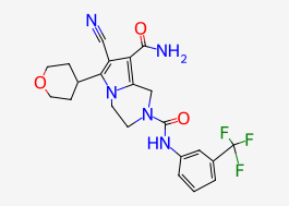 N#Cc1c(C(N)=O)c2n(c1C1CCOCC1)CCN(C(=O)Nc1cccc(C(F)(F)F)c1)C2